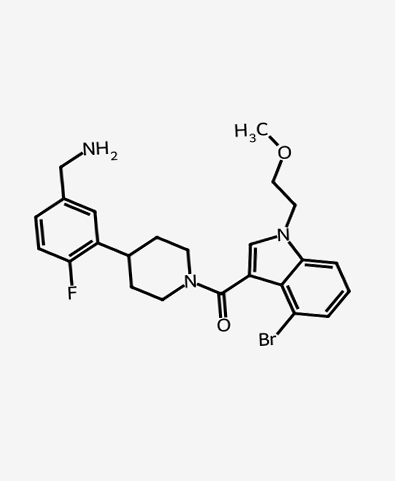 COCCn1cc(C(=O)N2CCC(c3cc(CN)ccc3F)CC2)c2c(Br)cccc21